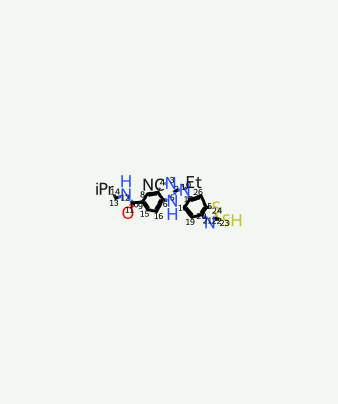 CCN(/C(=N/C#N)Nc1ccc(C(=O)NCC(C)C)cc1)c1ccc2nc(S)sc2c1